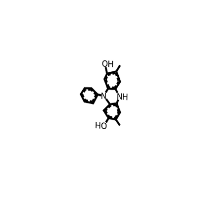 Cc1cc2c(cc1O)N(c1ccccc1)c1cc(O)c(C)cc1N2